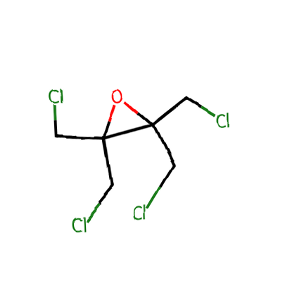 ClCC1(CCl)OC1(CCl)CCl